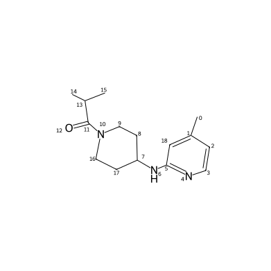 Cc1ccnc(NC2CCN(C(=O)C(C)C)CC2)c1